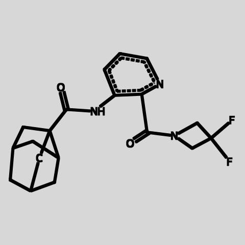 O=C(c1ncccc1NC(=O)C12CC3CC(CC1C3)C2)N1CC(F)(F)C1